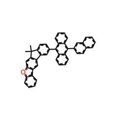 CC1(C)c2ccc(-c3c4ccccc4c(-c4ccc5ccccc5c4)c4ccccc34)cc2-c2cc3c(cc21)oc1ccccc13